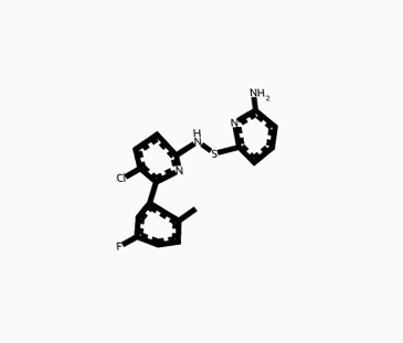 Cc1ccc(F)cc1-c1nc(NSc2cccc(N)n2)ccc1Cl